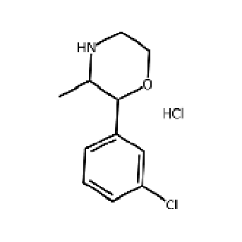 CC1NCCOC1c1cccc(Cl)c1.Cl